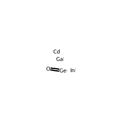 [Cd].[Ga].[In].[O]=[Ge]